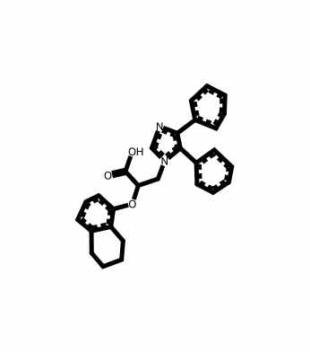 O=C(O)C(Cn1cnc(-c2ccccc2)c1-c1ccccc1)Oc1cccc2c1CCCC2